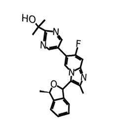 Cc1nc2cc(F)c(-c3cnc(C(C)(C)O)nc3)cn2c1C1O[C@H](C)c2ccccc21